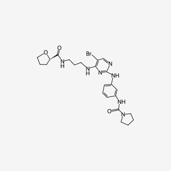 O=C(NCCCNc1nc(Nc2cccc(NC(=O)N3CCCC3)c2)ncc1Br)[C@H]1CCCO1